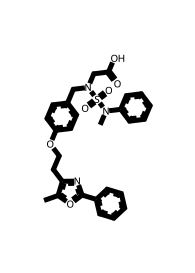 Cc1oc(-c2ccccc2)nc1CCOc1ccc(CN(CC(=O)O)S(=O)(=O)N(C)c2ccccc2)cc1